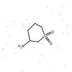 NC1CCCS(=O)(=O)C1